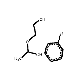 CC(O)OCCO.CCc1ccccc1